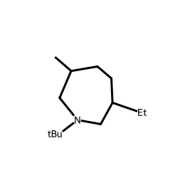 CCC1CCC(C)CN(C(C)(C)C)C1